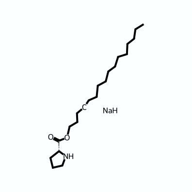 CCCCCCCCCCCCCCCCOC(=O)[C@H]1CCCN1.[NaH]